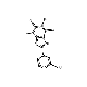 CCn1c(=O)c2[nH]c(-c3cccc(S(=O)(=O)O)c3)nc2n(CC)c1=O